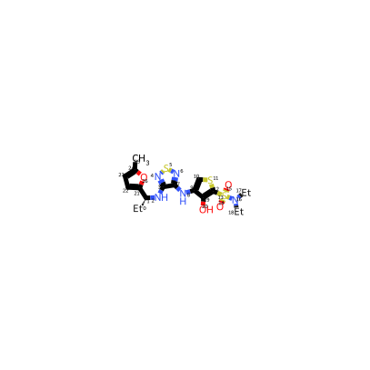 CC[C@@H](Nc1nsnc1Nc1csc(S(=O)(=O)N(CC)CC)c1O)c1ccc(C)o1